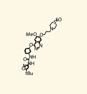 COc1cc2c(Oc3cccc(NC(=O)Nc4cc(C(C)(C)C)on4)c3)ncnc2cc1OCCCN1CCS(=S=O)CC1